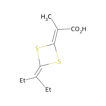 CCC(CC)=c1sc(=C(C)C(=O)O)s1